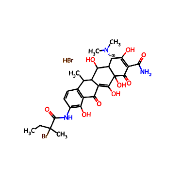 Br.CCC(C)(Br)C(=O)Nc1ccc2c(c1O)C(=O)C1=C(O)C3(O)C(=O)C(C(N)=O)=C(O)[C@@H](N(C)C)C3C(O)C1C2C